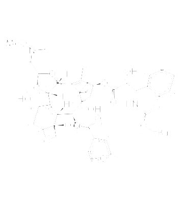 CON(C)CC1O[C@@H]2C3=C(C)[C@@H](OC(=O)[C@H](O)[C@@H](NC(=O)OC(C)(C)C)c4ccccc4)C[C@@](O)([C@@H](OC(=O)c4ccccc4)[C@H]4[C@](C)([C@@H]2O1)[C@@H](O)CC1OC[C@]14OC(C)=O)C3(C)C